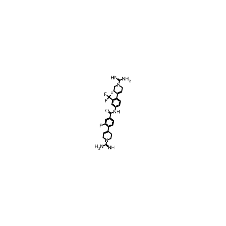 N=C(N)N1CC=C(c2ccc(C(=O)Nc3ccc(C4=CCN(C(=N)N)CC4)c(C(F)(F)F)c3)cc2F)CC1